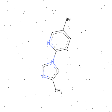 Cc1cn(-c2ccc(C(C)C)cn2)cn1